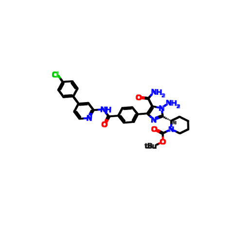 CC(C)(C)OC(=O)N1CCCC[C@H]1c1nc(-c2ccc(C(=O)Nc3cc(-c4ccc(Cl)cc4)ccn3)cc2)c(C(N)=O)n1N